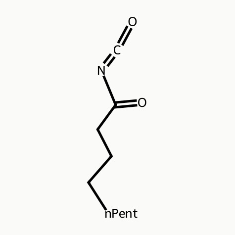 CCCCCCCCC(=O)N=C=O